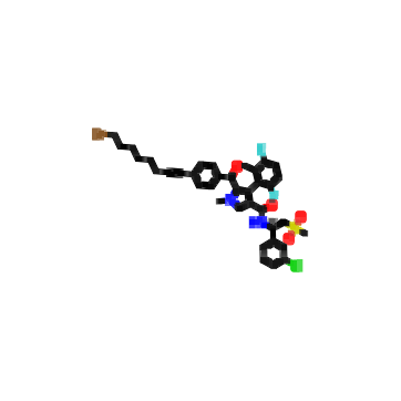 Cc1c(F)ccc(F)c1-c1c(C(=O)N[C@@H](CS(C)(=O)=O)c2cccc(Cl)c2)cn(C)c1C(=O)c1ccc(C#CCCCCCCBr)cc1